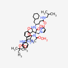 CC(=O)N(C(=O)[C@@H](N)Cc1ccccc1)[C@@](Cn1cccn1)(C(=O)N[C@@H](CC1CCCCC1)[C@@H](O)CC(=O)NCC(C)C)C1COc2ccc(CNC(=O)OC(C)(C)C)cc21.O